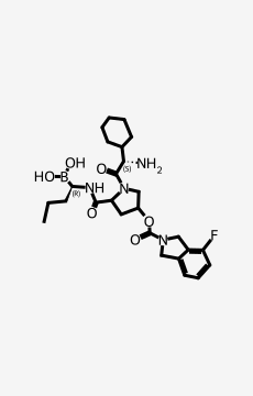 CCC[C@H](NC(=O)C1CC(OC(=O)N2Cc3cccc(F)c3C2)CN1C(=O)[C@@H](N)C1CCCCC1)B(O)O